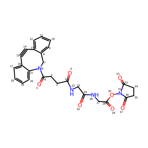 O=C(CCC(=O)N1Cc2ccccc2C#Cc2ccccc21)NCC(=O)NCC(=O)ON1C(=O)CCC1=O